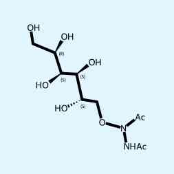 CC(=O)NN(OC[C@H](O)[C@H](O)[C@@H](O)[C@H](O)CO)C(C)=O